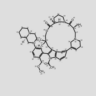 CCn1c(-c2cc(N3CCN4CCCC[C@@H]4C3)cnc2[C@H](C)OC)c2c3cc(ccc31)C1=CCC[N@@](C1)C[C@H](N)C(=O)N1CCC[C@H](N1)C(=O)OCC(C)(C)C2